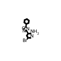 Nc1ncc(Br)cc1-c1noc(-c2ccccc2)n1